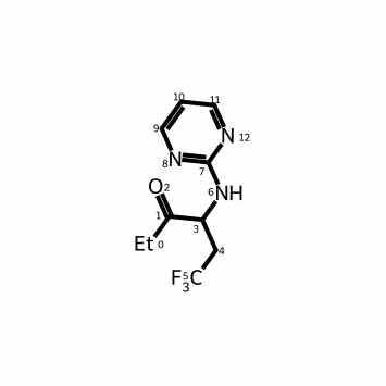 CCC(=O)C(CC(F)(F)F)Nc1ncccn1